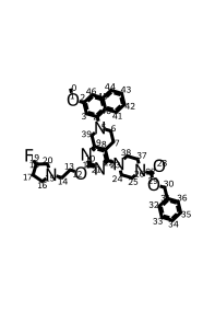 COc1cc(N2CCc3c(nc(OCCN4CCC(F)C4)nc3N3CCN(C(=O)OCc4ccccc4)CC3)C2)c2ccccc2c1